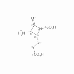 N[C@@H]1C(=O)N(S(=O)(=O)O)[C@@H]1SCC(=O)O